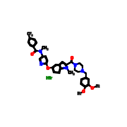 Br.CCOc1ccc(CN2CCN(C(=O)c3cc4cc(Oc5ccc(N(C)C(=O)c6ccc(C(F)(F)F)cc6)cn5)ccc4n3C)CC2)cc1OCC